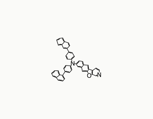 c1ccc2cc(-c3ccc(N(c4ccc(-c5cccc6ccccc56)cc4)c4ccc5cc6c(cc5c4)oc4cnccc46)cc3)ccc2c1